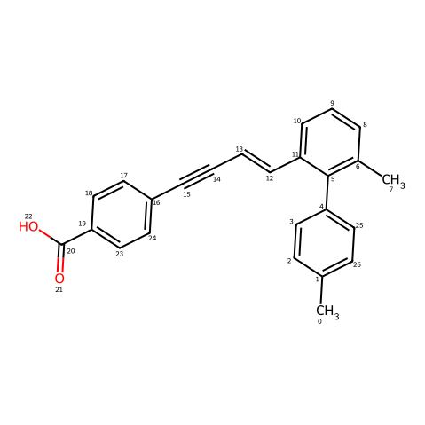 Cc1ccc(-c2c(C)cccc2C=CC#Cc2ccc(C(=O)O)cc2)cc1